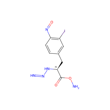 N=NN[C@@H](Cc1ccc(N=O)c(I)c1)C(=O)ON